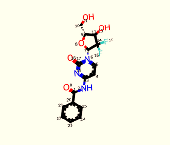 O=C(Nc1ccn([C@@H]2O[C@H](CO)C(O)C2(F)F)c(=O)n1)c1ccccc1